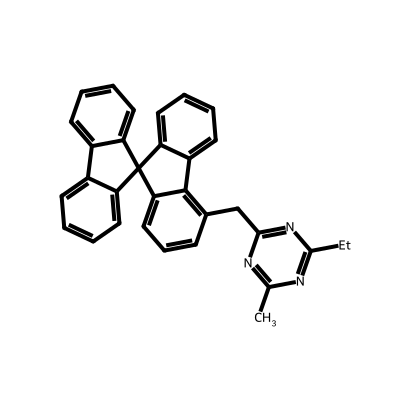 CCc1nc(C)nc(Cc2cccc3c2-c2ccccc2C32c3ccccc3-c3ccccc32)n1